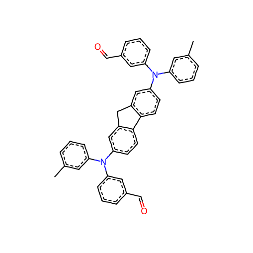 Cc1cccc(N(c2cccc(C=O)c2)c2ccc3c(c2)Cc2cc(N(c4cccc(C)c4)c4cccc(C=O)c4)ccc2-3)c1